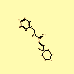 C[Si]1(C=CC(=O)OCc2ccccc2)CCCCC1